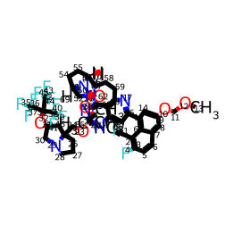 C#Cc1c(F)ccc2cc(OCOC)cc(-c3nc4c5c(nc(OCC67CCCN6C[C@@H](OC(C(F)(F)F)(C(F)(F)F)C(F)(F)F)C7)nc5c3F)N3C[C@H]5CC[C@@H]([C@H]3CC4)N5C(=O)OC(C)(C)C)c12